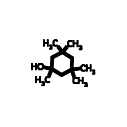 CC1(C)CC(C)(C)CC(C)(O)C1